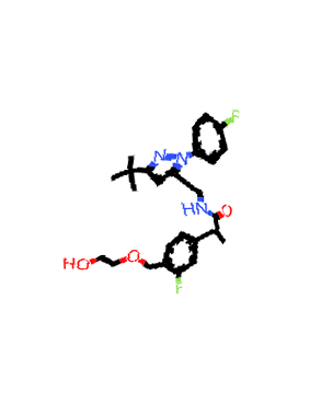 CC(C(=O)NCc1cc(C(C)(C)C)nn1-c1ccc(F)cc1)c1ccc(COCCO)c(F)c1